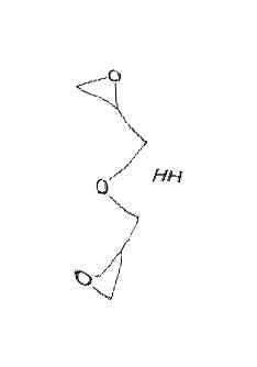 C(OCC1CO1)C1CO1.[HH]